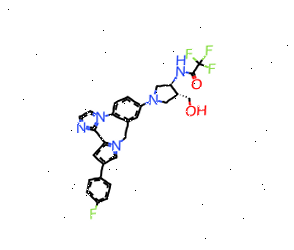 O=C(N[C@@H]1CN(c2ccc3c(c2)Cn2cc(-c4ccc(F)cc4)cc2-c2nccn2-3)C[C@H]1CO)C(F)(F)F